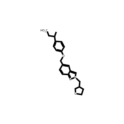 CC(CC(=O)O)c1ccc(OCc2ccc3nn(CC4CCOC4)cc3c2)cc1